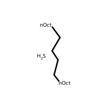 CCCCCCCCCCCCCCCCCCCC.S